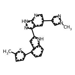 Cc1ccc(-c2cccc3[nH]c(-c4n[nH]c5ncc(-c6cnn(C)c6)cc45)cc23)s1